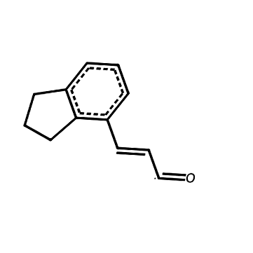 O=[C]C=Cc1cccc2c1CCC2